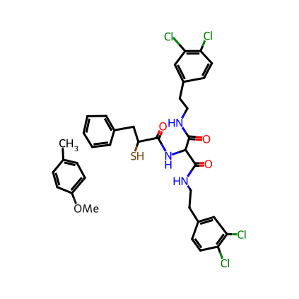 COc1ccc(C)cc1.O=C(NC(C(=O)NCCc1ccc(Cl)c(Cl)c1)C(=O)NCCc1ccc(Cl)c(Cl)c1)C(S)Cc1ccccc1